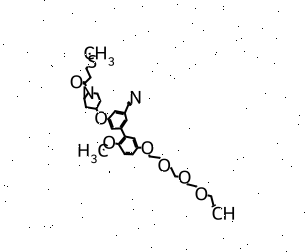 C#CCOCCOCCOCCOc1ccc(OC)c(-c2cc(C#N)cc(OC3CCN(C(=O)CCSC)CC3)c2)c1